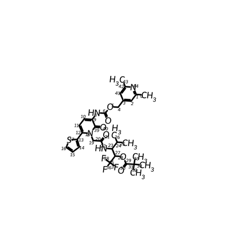 Cc1cc(COC(=O)Nc2ccc(-c3cccs3)n(CC(=O)NC(C(C)C)C(OC(=O)C(C)(C)C)C(F)(F)F)c2=O)cc(C)n1